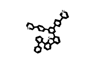 c1ccc(-c2ccccc2-c2cccc3c2sc2c(-c4cc(-c5ccc(-c6cccnc6)cc5)cc(-c5ccc(-c6cccnc6)cc5)c4)cccc23)cc1